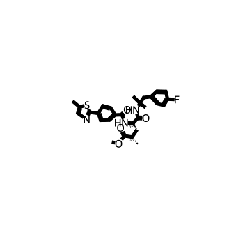 COC(=O)[C@@H](C)C[C@H](NC(=O)c1ccc(-c2ncc(C)s2)cc1)C(=O)NC(C)(C)Cc1ccc(F)cc1